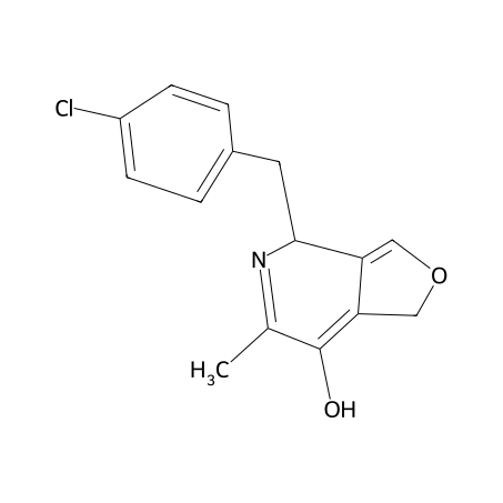 CC1=NC(Cc2ccc(Cl)cc2)C2=COCC2=C1O